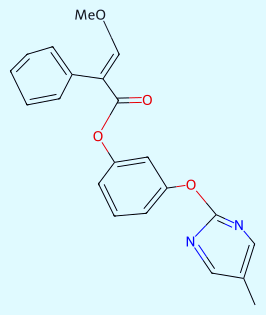 COC=C(C(=O)Oc1cccc(Oc2ncc(C)cn2)c1)c1ccccc1